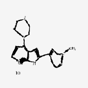 Cl.Cn1cc(-c2cc3c(N4CCNCC4)ccnc3[nH]2)cn1